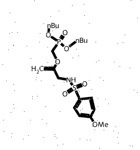 C=C(CNS(=O)(=O)c1ccc(OC)cc1)OCP(=O)(OCCCC)OCCCC